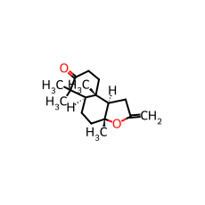 C=C1C[C@@H]2[C@@]3(C)CCC(=O)C(C)(C)[C@@H]3CC[C@@]2(C)O1